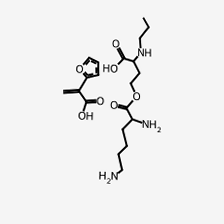 C=C(C(=O)O)c1ccco1.CCCNC(CCOC(=O)C(N)CCCCN)C(=O)O